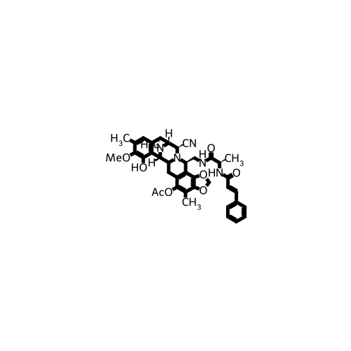 COc1c(C)cc2c(c1O)[C@H]1C3Cc4c(OC(C)=O)c(C)c5c(c4[C@H](CNC(=O)[C@H](C)NC(=O)/C=C/c4ccccc4)N3[C@@H](C#N)[C@H](C2)N1C)OCO5